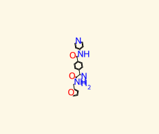 NC(C(=O)NCc1ccco1)c1ccc(C(=O)Nc2ccncc2)cc1